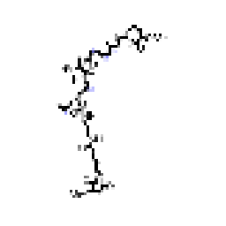 C/C=C\C[C@@H](C/C=C\NC(=O)[C@@H](NC(=O)\C=C/C=C\C(C)=C\[C@H](C)[C@@H]1CCC=C(OC)C(=O)O1)C(C)(C)C)OC(=O)NCCCNC(=O)CCCCCN1C(=O)CC(SC)C1=O